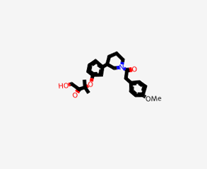 COc1ccc(CC(=O)N2CCCC(c3cccc(OC(C)(C)C(=O)CO)c3)C2)cc1